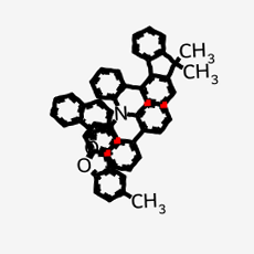 Cc1ccc2oc3ccc(N(c4ccccc4-c4cccc5c4-c4ccccc4C5(C)C)c4ccccc4-c4cccc5oc6c7ccccc7ccc6c45)cc3c2c1